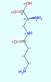 NCCCC(=O)NC[C@H](N)C(=O)O